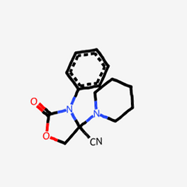 N#CC1(N2CCCCC2)COC(=O)N1c1ccccc1